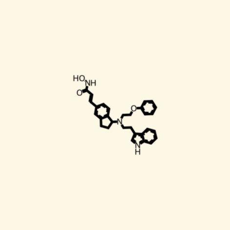 O=C(C=Cc1ccc2c(c1)CCC2N(CCOc1ccccc1)CCc1c[nH]c2ccccc12)NO